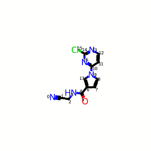 N#CCNC(=O)c1ccn(-c2ccnc(Cl)n2)c1